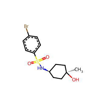 C[C@]1(O)CC[C@@H](NS(=O)(=O)c2ccc(Br)cc2)CC1